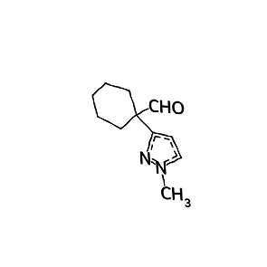 Cn1ccc(C2(C=O)CCCCC2)n1